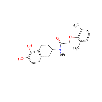 CCCN(C(=O)COc1c(C)cccc1C)C1CCc2c(ccc(O)c2O)C1